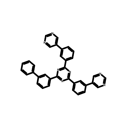 c1ccc(-c2cccc(-c3nc(-c4cccc(-c5cncnc5)c4)nc(-c4cccc(-c5cncnc5)c4)n3)c2)cc1